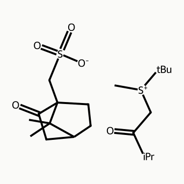 CC(C)C(=O)C[S+](C)C(C)(C)C.CC1(C)C2CCC1(CS(=O)(=O)[O-])C(=O)C2